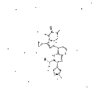 Cc1cn(-c2nc3cccc(-c4nc(C5CC5)n5c4CN(C)C(=O)C5C)c3cc2C(F)F)cn1